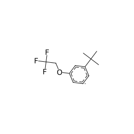 CC(C)(C)c1c[c]cc(OCC(F)(F)F)c1